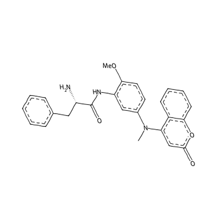 COc1ccc(N(C)c2cc(=O)oc3ccccc23)cc1NC(=O)[C@@H](N)Cc1ccccc1